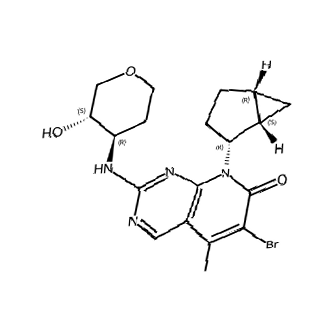 Cc1c(Br)c(=O)n([C@@H]2CC[C@@H]3C[C@@H]32)c2nc(N[C@@H]3CCOC[C@H]3O)ncc12